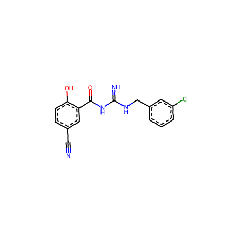 N#Cc1ccc(O)c(C(=O)NC(=N)NCc2cccc(Cl)c2)c1